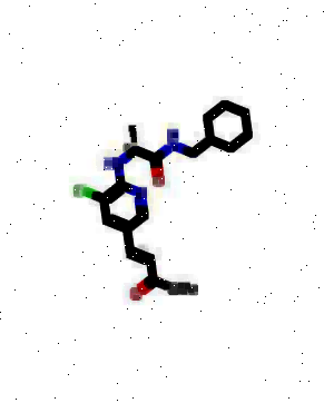 COC(=O)/C=C/c1cnc(N[C@H](C)C(=O)NCC2CCCCC2)c(Cl)c1